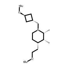 C[C@@H]1[C@H](CCOC(C)(C)C)CCN(C[C@H]2C[C@H](OC(C)(C)C)C2)[C@@H]1C